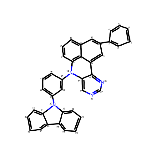 c1ccc(-c2cc3c4c(cccc4c2)N(c2cccc(-n4c5ccccc5c5ccccc54)c2)c2cncnc2-3)cc1